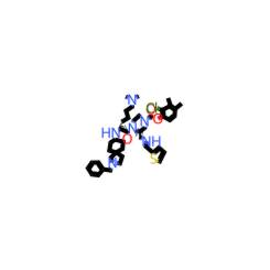 Cc1ccc(OC(=O)N2CCN(C(=O)[C@@H](CCCCN(C)C)NC3CCC4(CC3)CCN(Cc3ccccc3)C4)[C@H](CNCc3cccs3)C2)c(Cl)c1C